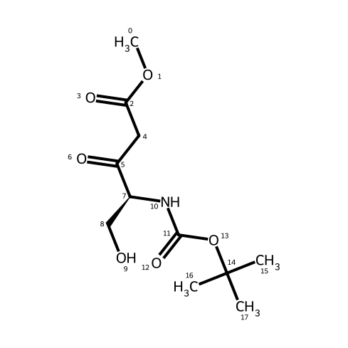 COC(=O)CC(=O)[C@H](CO)NC(=O)OC(C)(C)C